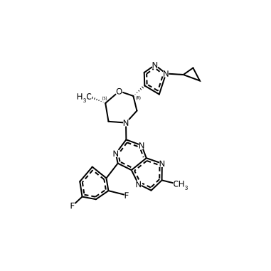 Cc1cnc2c(-c3ccc(F)cc3F)nc(N3C[C@@H](c4cnn(C5CC5)c4)O[C@@H](C)C3)nc2n1